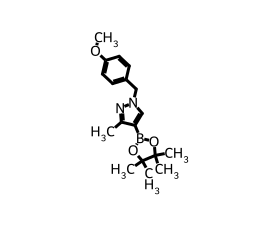 COc1ccc(Cn2cc(B3OC(C)(C)C(C)(C)O3)c(C)n2)cc1